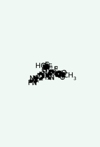 CS(=O)(=O)c1ccc(N2CCc3c(NC4CCN(c5cnc(F)nc5)CC4)ncnc32)c(F)c1.O=C(O)C(F)(F)F